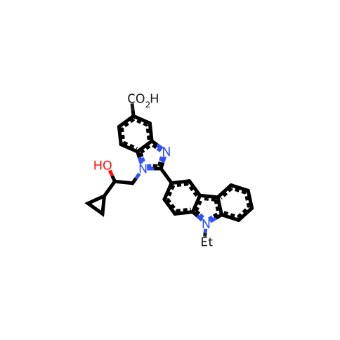 CCn1c2ccccc2c2cc(-c3nc4cc(C(=O)O)ccc4n3CC(O)C3CC3)ccc21